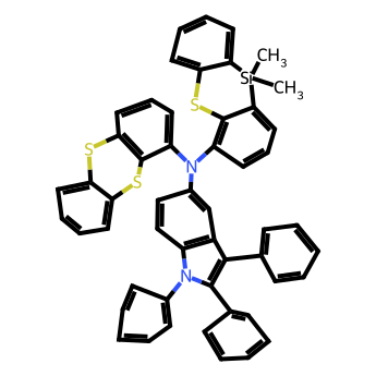 C[Si]1(C)c2ccccc2Sc2c(N(c3ccc4c(c3)c(-c3ccccc3)c(-c3ccccc3)n4-c3ccccc3)c3cccc4c3Sc3ccccc3S4)cccc21